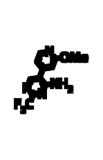 COc1cc(-c2cnc(C(F)(F)F)nc2N)ccn1